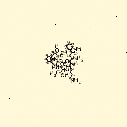 C[C@@H](O)[C@H](NC(=O)[C@H](CCCCN)NC(=O)[C@H](N)Cc1c[nH]c2ccccc12)C(=O)N[C@@H](Cc1ccccc1)C(=O)N[C@@H](CS)C(=O)O